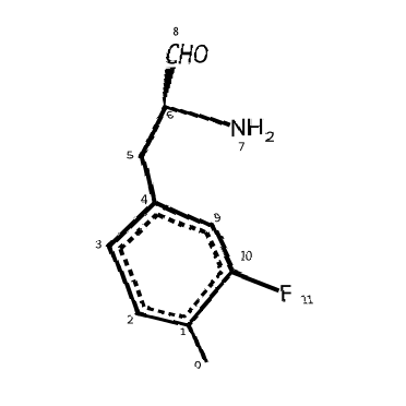 Cc1ccc(C[C@H](N)C=O)cc1F